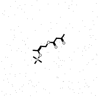 CC(=O)CC(=O)OCC=C(C)O[Si](C)(C)C